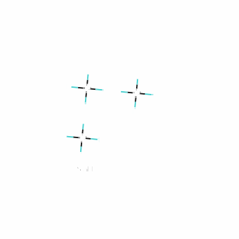 Cl.F[B-](F)(F)F.F[B-](F)(F)F.F[B-](F)(F)F.[NaH]